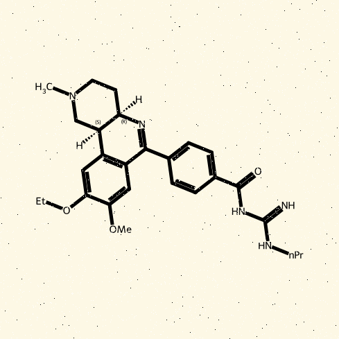 CCCNC(=N)NC(=O)c1ccc(C2=N[C@@H]3CCN(C)C[C@@H]3c3cc(OCC)c(OC)cc32)cc1